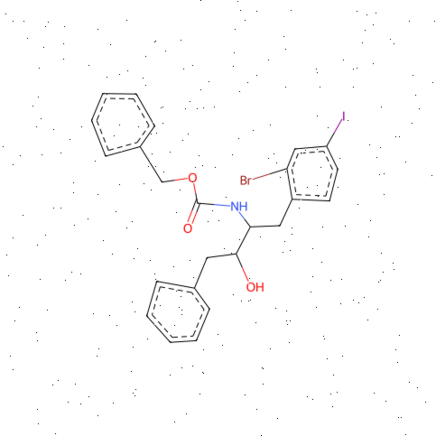 O=C(NC(Cc1ccc(I)cc1Br)C(O)Cc1ccccc1)OCc1ccccc1